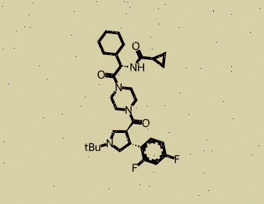 CC(C)(C)N1C[C@@H](C(=O)N2CCN(C(=O)[C@@H](NC(=O)C3CC3)C3CCCCC3)CC2)[C@H](c2ccc(F)cc2F)C1